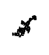 CC(C)c1cc(OCc2cccs2)cc(-c2ccc(F)cc2)c1/C=C/C(O)CC(O)CC(=O)O